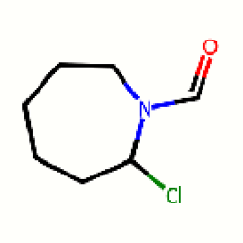 O=CN1CCCCCC1Cl